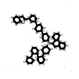 c1ccc(-c2ccccc2-c2ccccc2-c2ccc(N(c3ccc(-c4ccc(-c5cccc(-c6cc7ccccc7o6)c5)cc4)cc3)c3cc4ccccc4c4ccccc34)cc2)cc1